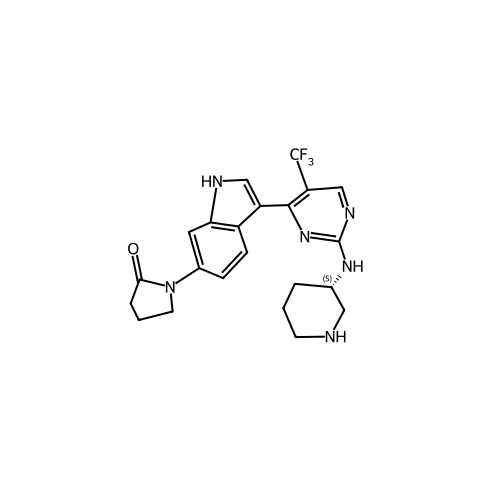 O=C1CCCN1c1ccc2c(-c3nc(N[C@H]4CCCNC4)ncc3C(F)(F)F)c[nH]c2c1